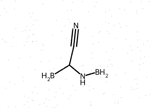 BNC(B)C#N